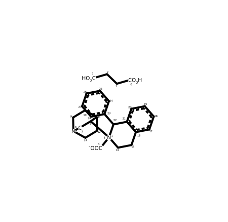 O=C(O)CCC(=O)O.O=C([O-])[N+]1(C2CN3CCC2CC3)CCc2ccccc2C1c1ccccc1